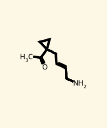 CC(=O)C1(CC=CCN)CC1